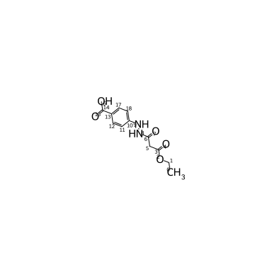 CCOC(=O)CC(=O)NNc1ccc(C(=O)O)cc1